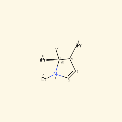 CCN1C=CC(C(C)C)[C@]1(C)C(C)C